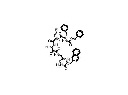 CC[C@H](C)C(NC(=O)[C@H](CCC(C)C)NC(=O)[C@H](Cc1ccccc1)NC(=O)OCc1ccccc1)C(=O)C(=O)NCC(=O)N[C@@H](Cc1ccc2ccccc2c1)C(N)=O